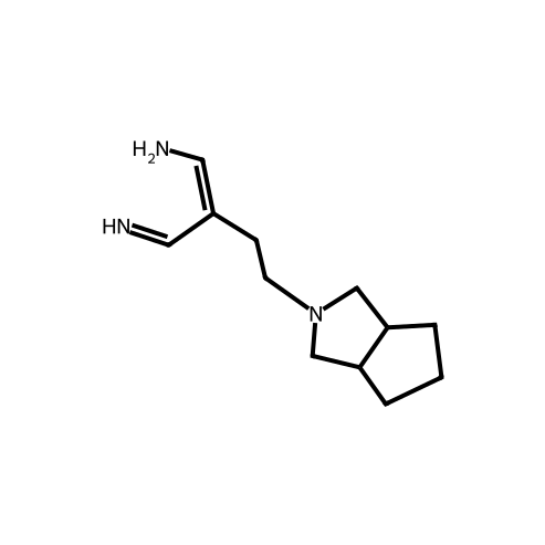 N=C/C(=C\N)CCN1CC2CCCC2C1